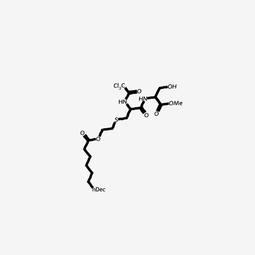 CCCCCCCCCCCCCCCC(=O)OCCSCC(NC(=O)C(Cl)(Cl)Cl)C(=O)NC(CO)C(=O)OC